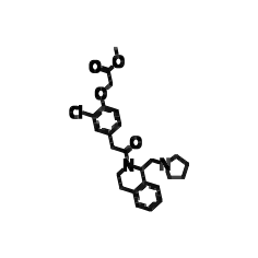 COC(=O)COc1ccc(CC(=O)N2CCc3ccccc3C2CN2CCCC2)cc1Cl